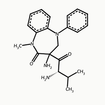 CC(C)[C@H](N)C(=O)C1(N)CN(c2ccccc2)c2ccccc2N(C)C1=O